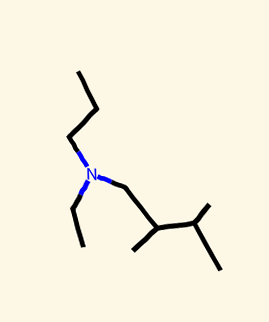 CCCN(CC)CC(C)C(C)C